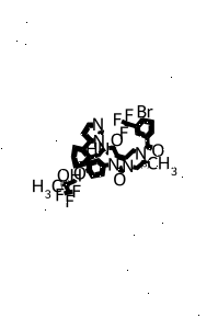 C[C@H]1Cn2c(c(C(=O)NCc3ccccc3-c3ccncn3)n(-c3ccc(OC[C@@](C)(O)C(F)(F)F)cc3)c2=O)CN1C(=O)c1ccc(Br)c(C(F)(F)F)c1